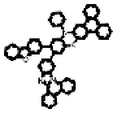 c1ccc(N2c3cc(-c4ccc5c(c4)oc4ccccc45)c(-c4ccc5nc6c7ccccc7c7ccccc7n6c5c4)cc3Sc3cc4c5ccccc5c5ccccc5c4cc32)cc1